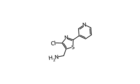 NCc1sc(-c2cccnc2)nc1Cl